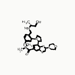 C[C@H](CO)NCc1ccc(F)cc1N1CCCC1c1cc(C(=O)N(C)C)cc2ncc(N3CCOCC3)nc12